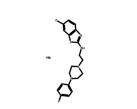 Br.Fc1ccc(N2CCN(CCNc3nc4ccc(F)cc4s3)CC2)cc1